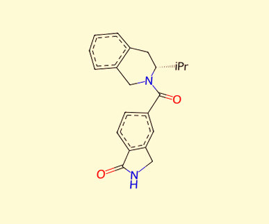 CC(C)[C@H]1Cc2ccccc2CN1C(=O)c1ccc2c(c1)CNC2=O